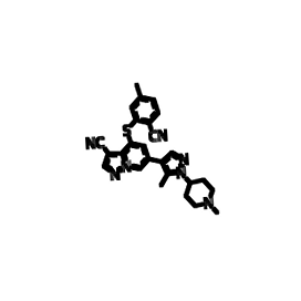 Cc1ccc(C#N)c(Sc2cc(-c3cnn(C4CCN(C)CC4)c3C)cn3ncc(C#N)c23)c1